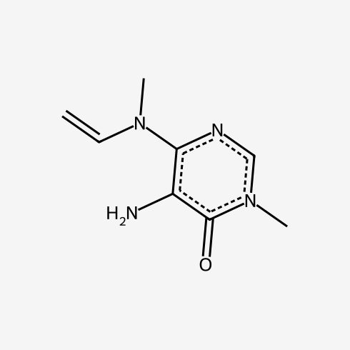 C=CN(C)c1ncn(C)c(=O)c1N